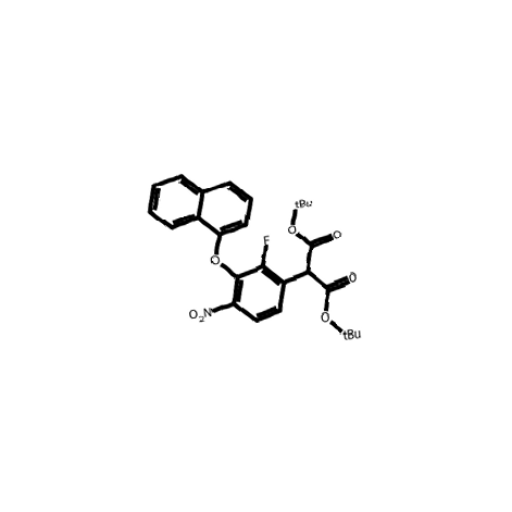 CC(C)(C)OC(=O)C(C(=O)OC(C)(C)C)c1ccc([N+](=O)[O-])c(Oc2cccc3ccccc23)c1F